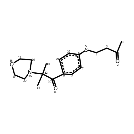 CC(=O)CCSc1ccc(C(=O)C(C)(C)N2CCOCC2)cc1